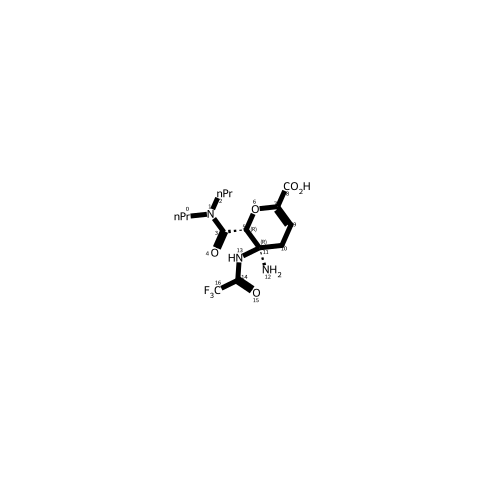 CCCN(CCC)C(=O)[C@@H]1OC(C(=O)O)=CC[C@@]1(N)NC(=O)C(F)(F)F